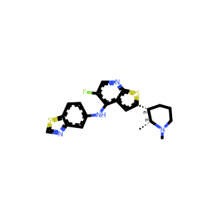 C[C@@H]1[C@H](c2cc3c(Nc4ccc5scnc5c4)c(F)cnc3s2)CCCN1C